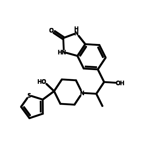 CC(C(O)c1ccc2[nH]c(=O)[nH]c2c1)N1CCC(O)(c2cccs2)CC1